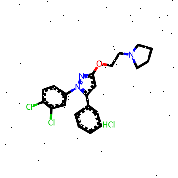 Cl.Clc1ccc(-n2nc(OCCN3CCCC3)cc2-c2ccccc2)cc1Cl